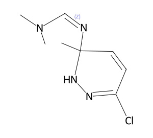 CN(C)/C=N\C1(C)C=CC(Cl)=NN1